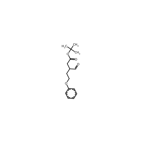 CC(C)(C)OC(=O)CC([C]=O)CCOc1ccccc1